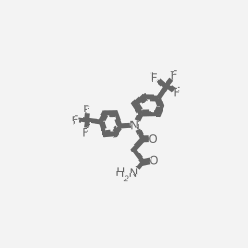 NC(=O)CC(=O)N(c1ccc(C(F)(F)F)cc1)c1ccc(C(F)(F)F)cc1